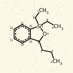 CCCC1O[Si](CC)(CC)c2ccccc21